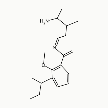 C=C(/N=C\CC(C)C(C)N)c1cccc(C(C)CC)c1OC